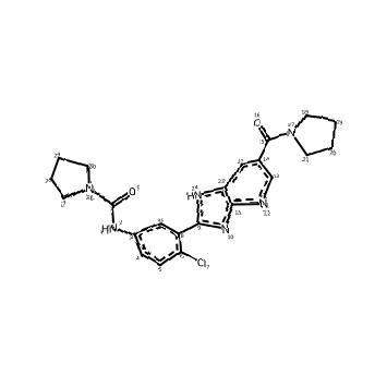 O=C(Nc1ccc(Cl)c(-c2nc3ncc(C(=O)N4CCCC4)cc3[nH]2)c1)N1CCCC1